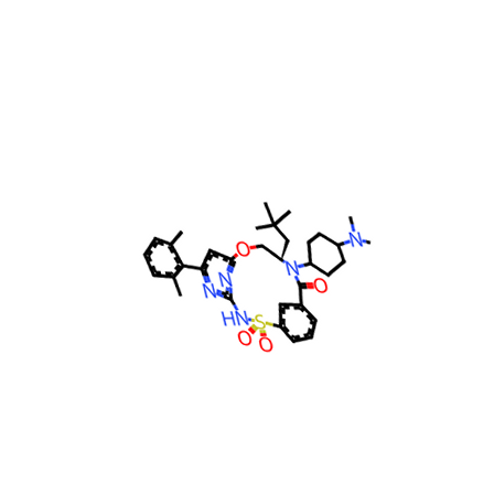 Cc1cccc(C)c1-c1cc2nc(n1)NS(=O)(=O)c1cccc(c1)C(=O)N(C1CCC(N(C)C)CC1)[C@H](CC(C)(C)C)CO2